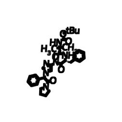 CC(C)(C)OC(=O)NC(C)(C)C(=O)N[C@H](Cc1ccccc1)C(=O)Nc1cn(C(C(=O)N2CCCC2)c2ccccc2)cn1